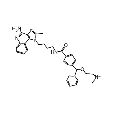 Cc1nc2c(N)nc3ccccc3c2n1CCCCNC(=O)c1ccc(C(OCCN(C)C)c2ccccc2)cc1